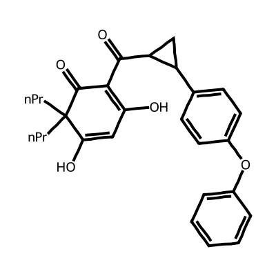 CCCC1(CCC)C(=O)C(C(=O)C2CC2c2ccc(Oc3ccccc3)cc2)=C(O)C=C1O